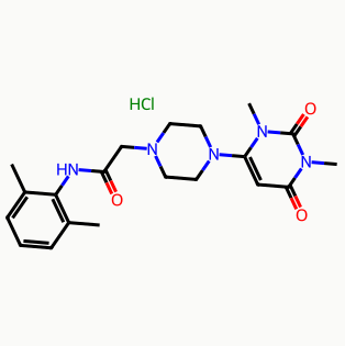 Cc1cccc(C)c1NC(=O)CN1CCN(c2cc(=O)n(C)c(=O)n2C)CC1.Cl